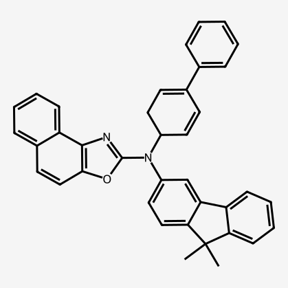 CC1(C)c2ccccc2-c2cc(N(c3nc4c(ccc5ccccc54)o3)C3C=CC(c4ccccc4)=CC3)ccc21